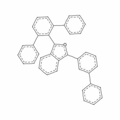 c1ccc(-c2cccc(-c3oc(-c4c(-c5ccccc5)cccc4-c4ccccc4)c4ccccc34)c2)cc1